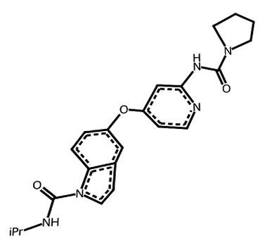 CC(C)NC(=O)n1ccc2cc(Oc3ccnc(NC(=O)N4CCCC4)c3)ccc21